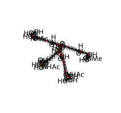 COP(=O)(O)OCC(CO)CCCCNC(=O)CCCCCCCCCCCNC(=O)[C@H](CCCCNC(=O)CCCCCCCCCCCOC1OC(CO)C(O)C(O)C1NC(C)=O)NC(=O)[C@H](CCCCNC(=O)CCCCCCCCCCCOC1OC(CO)C(O)C(O)C1NC(C)=O)NC(=O)CCCCCCCCCCCOC1OC(CO)C(O)C(O)C1NC(C)=O